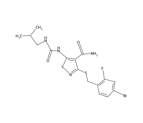 CC(C)CNC(=O)Nc1snc(SCc2ccc(Br)cc2F)c1C(N)=O